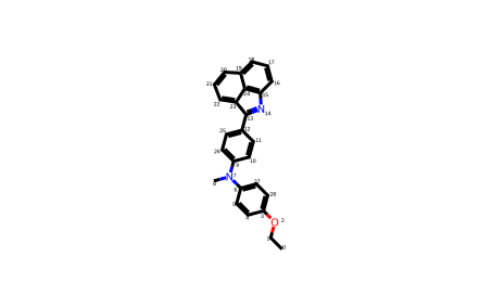 CCOc1ccc(N(C)c2ccc(C3=Nc4cccc5cccc3c45)cc2)cc1